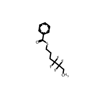 CCC(F)(F)C(F)(F)CCCSC(=O)c1ccccc1